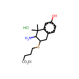 CCOC(=O)CCCSC1Cc2ccc(O)cc2C(C)(C)C1N.Cl